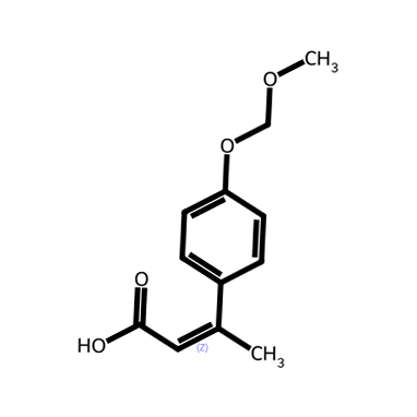 COCOc1ccc(/C(C)=C\C(=O)O)cc1